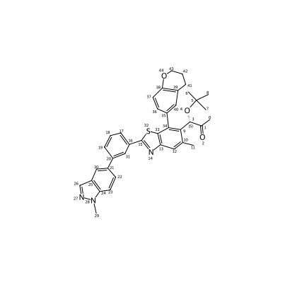 CC(=O)[C@@H](OC(C)(C)C)c1c(C)cc2nc(-c3cccc(-c4ccc5c(cnn5C)c4)c3)sc2c1-c1ccc2c(c1)CCCO2